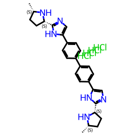 C[C@H]1CC[C@@H](c2ncc(-c3ccc(-c4ccc(-c5cnc([C@@H]6CC[C@H](C)N6)[nH]5)cc4)cc3)[nH]2)N1.Cl.Cl.Cl.Cl